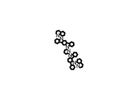 c1cc(-n2c3ccccc3c3cc4c(cc32)c2ccccc2n4-c2cccc3cccnc23)nc(-n2c3ccccc3c3c2ccc2c4ccccc4n(-c4cccc5cccnc45)c23)c1